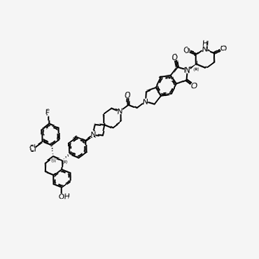 O=C1CC[C@@H](N2C(=O)c3cc4c(cc3C2=O)CN(CC(=O)N2CCC3(CC2)CN(c2ccc([C@@H]5c6ccc(O)cc6CC[C@@H]5c5ccc(F)cc5Cl)cc2)C3)C4)C(=O)N1